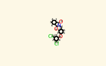 O=C1c2ccccc2C(=O)N1Cc1ccc(Oc2cc(Cl)cc(Cl)c2)cc1